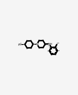 CC(C)[C@H]1CC[C@@H](N2CCC(Nc3ccccc3I)CC2)CC1